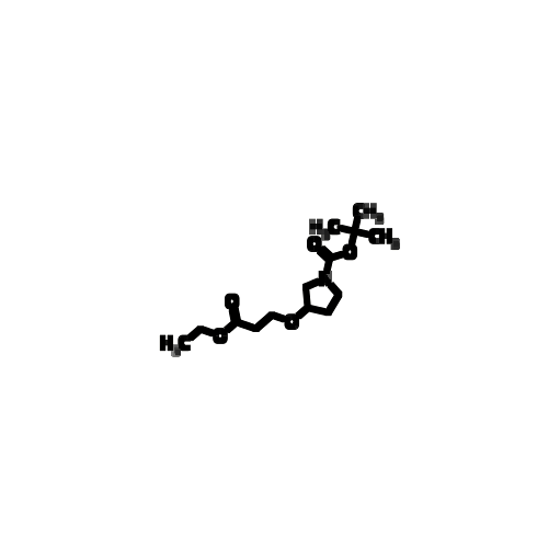 CCOC(=O)CCOC1CCN(C(=O)OC(C)(C)C)C1